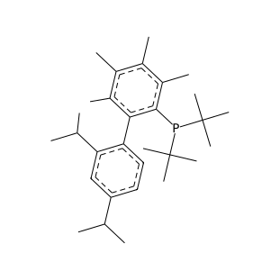 Cc1c(C)c(C)c(P(C(C)(C)C)C(C)(C)C)c(-c2ccc(C(C)C)cc2C(C)C)c1C